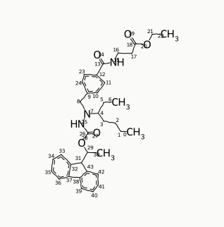 CCCCC(CC)N(Cc1ccc(C(=O)NCCC(=O)OCC)cc1)NC(=O)OC(C)C1c2ccccc2-c2ccccc21